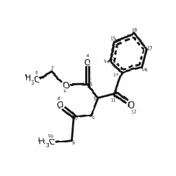 CCOC(=O)C(CC(=O)CC)C(=O)c1ccccc1